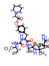 CCC(C)C(NC(=O)C(Cc1ccc(OC(=O)CN2CCCCC2)cc1)NC(=O)NC(CC(C)C)C(=O)O)C(=O)NC(C)(C)CC(C)(C)C(N)=S